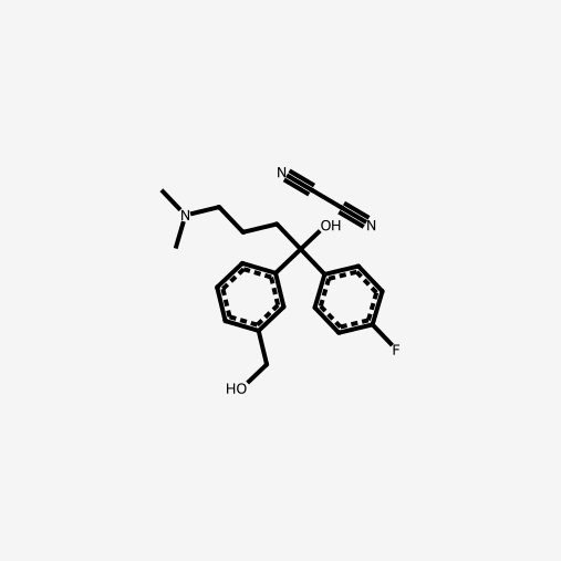 CN(C)CCCC(O)(c1ccc(F)cc1)c1cccc(CO)c1.N#CC#N